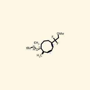 C=C1/C=C\C=C(\C(F)(F)COC)CCC[C@@H]1O[SiH](C)C(C)(C)C